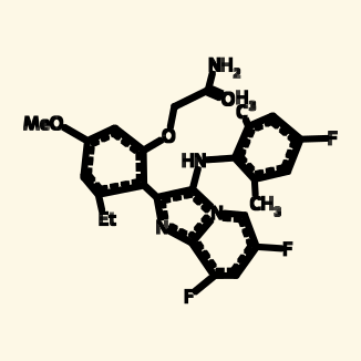 CCc1cc(OC)cc(OCC(N)=O)c1-c1nc2c(F)cc(F)cn2c1Nc1c(C)cc(F)cc1C